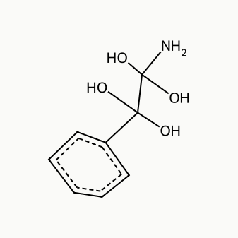 NC(O)(O)C(O)(O)c1ccccc1